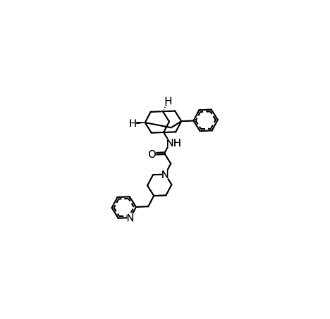 O=C(CN1CCC(Cc2ccccn2)CC1)NC12C[C@H]3C[C@@H](C1)CC(c1ccccc1)(C3)C2